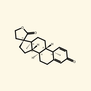 C[C@]12C=CC(=O)C=C1CC[C@@H]1[C@@H]2CC[C@@]2(C)[C@H]1CC[C@]21CCOC1=O